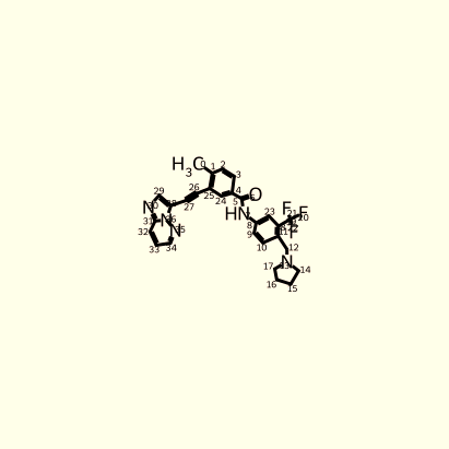 Cc1ccc(C(=O)Nc2ccc(CN3CCCC3)c(C(F)(F)F)c2)cc1C#Cc1cnc2cccnn12